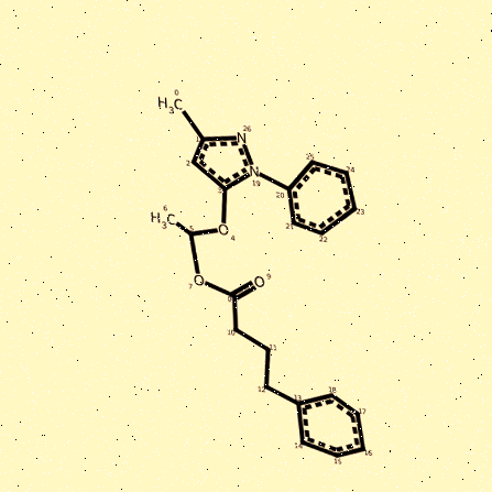 Cc1cc(OC(C)OC(=O)CCCc2ccccc2)n(-c2ccccc2)n1